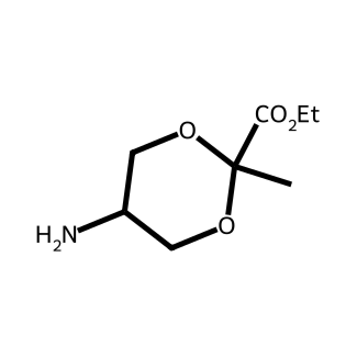 CCOC(=O)C1(C)OCC(N)CO1